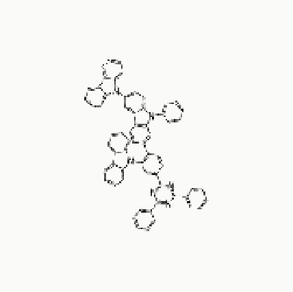 c1ccc(-c2nc(-c3ccccc3)nc(-c3ccc(-c4ccc5c6cc(-n7c8ccccc8c8ccccc87)ccc6n(-c6ccccc6)c5c4)c(-n4c5ccccc5c5ccccc54)c3)n2)cc1